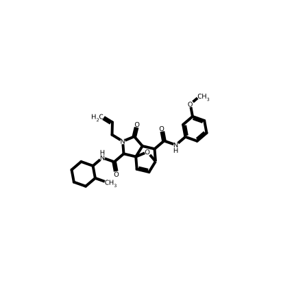 C=CCN1C(=O)C2C(C(=O)Nc3cccc(OC)c3)C3C=CC2(O3)C1C(=O)NC1CCCCC1C